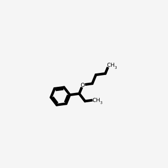 CCCCOC(CC)c1ccccc1